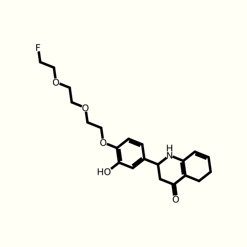 O=C1CC(c2ccc(OCCOCCOCCF)c(O)c2)NC2=C1CCC=C2